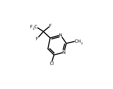 Cc1nc(Cl)cc(C(F)(F)C(F)(F)F)n1